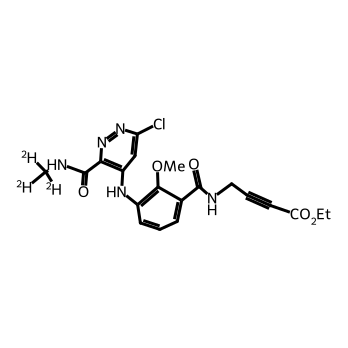 [2H]C([2H])([2H])NC(=O)c1nnc(Cl)cc1Nc1cccc(C(=O)NCC#CC(=O)OCC)c1OC